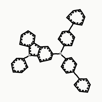 c1ccc(-c2ccc(N(c3ccc(-c4ccccc4)cc3)c3ccc4c(c3)c3ccccc3n4-c3ccccc3)cc2)cc1